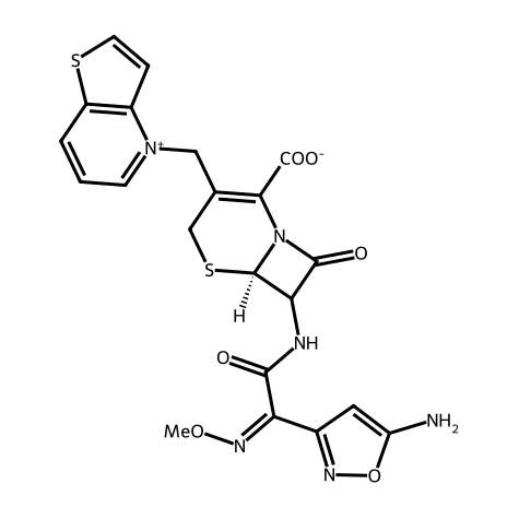 CO/N=C(\C(=O)NC1C(=O)N2C(C(=O)[O-])=C(C[n+]3cccc4sccc43)CS[C@H]12)c1cc(N)on1